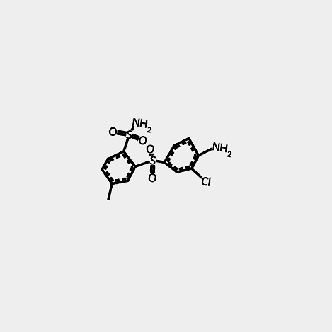 Cc1ccc(S(N)(=O)=O)c(S(=O)(=O)c2ccc(N)c(Cl)c2)c1